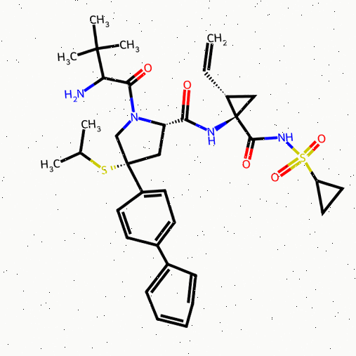 C=C[C@@H]1C[C@]1(NC(=O)[C@@H]1C[C@@](SC(C)C)(c2ccc(-c3ccccc3)cc2)CN1C(=O)C(N)C(C)(C)C)C(=O)NS(=O)(=O)C1CC1